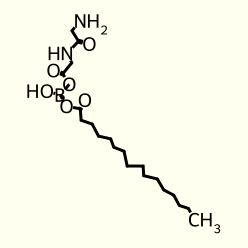 CCCCCCCCCCCCCCCC(=O)OB(O)OC(=O)CNC(=O)CN